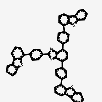 c1ccc2c(c1)sc1c(-c3ccc(-c4nc5c(-c6ccc(-c7cccc8c7sc7ccccc78)cc6)ccc(-c6ccc(-c7cccc8c7sc7ccccc78)cc6)c5s4)cc3)cccc12